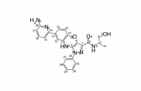 CC(CO)NC(=O)c1cc(Nc2cc(-c3cccc(N)n3)ccc2Cl)n(-c2ccccc2)n1